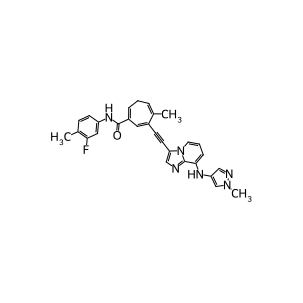 CC1=CCC=C(C(=O)Nc2ccc(C)c(F)c2)C=C1C#Cc1cnc2c(Nc3cnn(C)c3)cccn12